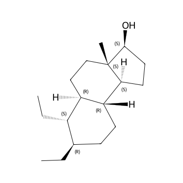 CC[C@@H]1CC[C@@H]2[C@H](CC[C@]3(C)[C@@H](O)CC[C@@H]23)[C@H]1CC